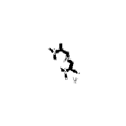 CC(C[N-]CC(C)N(C)C)N(C)C.[Li+]